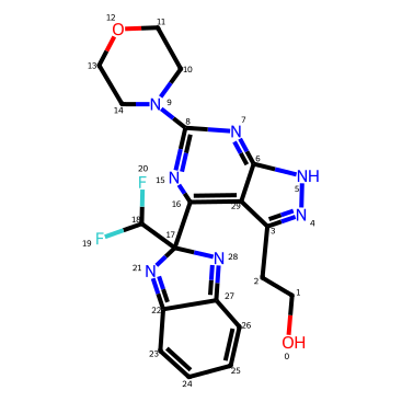 OCCc1n[nH]c2nc(N3CCOCC3)nc(C3(C(F)F)N=c4ccccc4=N3)c12